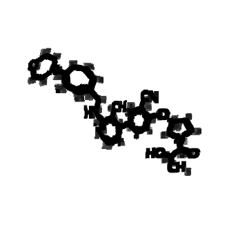 Cc1c(-c2ccc(O[C@@H]3CCN(C(=O)C(C)O)C3)c(C#N)c2)ccnc1NCC1=CC=C(N2CCOCC2)C=C=C1